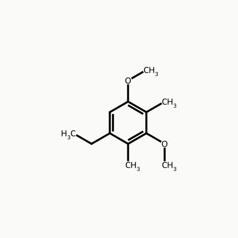 CCc1cc(OC)c(C)c(OC)c1C